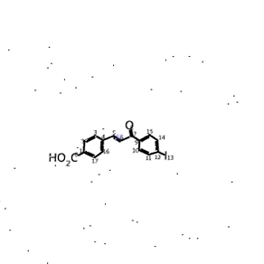 O=C(O)c1ccc(/C=C/C(=O)c2ccc(I)cc2)cc1